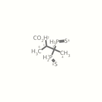 CC(C(=O)O)C(C)([PH2]=S)[PH2]=S